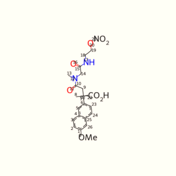 COc1ccc2cc([C@](C)(CC(=O)N(C)CC(=O)NCCO[N+](=O)[O-])C(=O)O)ccc2c1